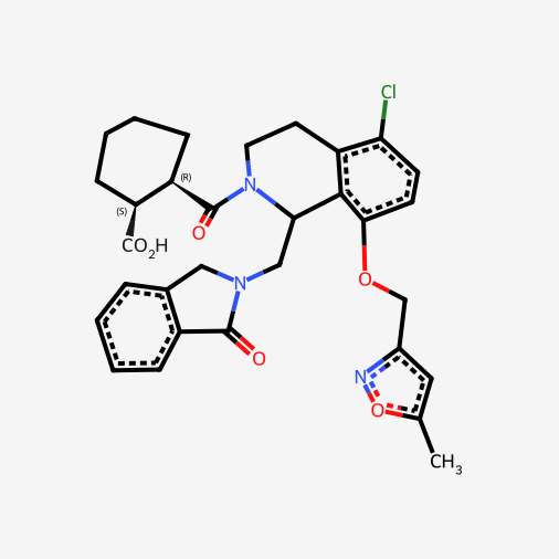 Cc1cc(COc2ccc(Cl)c3c2C(CN2Cc4ccccc4C2=O)N(C(=O)[C@@H]2CCCC[C@@H]2C(=O)O)CC3)no1